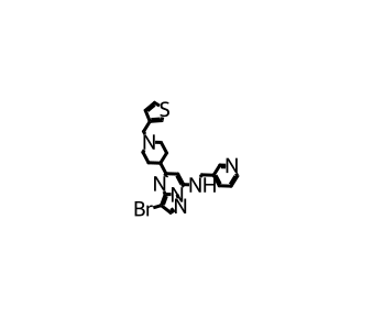 Brc1cnn2c(NCc3cccnc3)cc(C3CCN(Cc4ccsc4)CC3)nc12